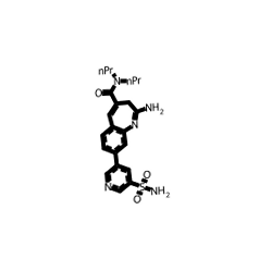 CCCN(CCC)C(=O)C1=Cc2ccc(-c3cncc(S(N)(=O)=O)c3)cc2N=C(N)C1